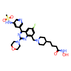 CS(=O)(=O)Nc1cncc(-c2nc(N3CCOCC3)nc3c(CN4CCC(CCCC(=O)NO)CC4)cc(F)cc23)c1